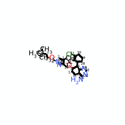 Cc1cn(COCC[Si](C)(C)C)nc1COc1ccc2c(N)ncnc2c1-c1cccc(Cl)c1C